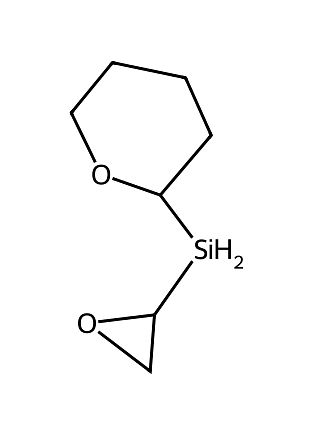 C1CCC([SiH2]C2CO2)OC1